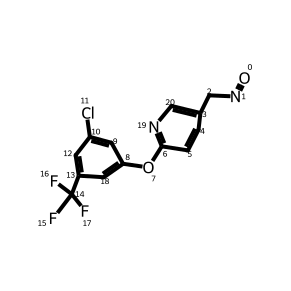 O=NCc1ccc(Oc2cc(Cl)cc(C(F)(F)F)c2)nc1